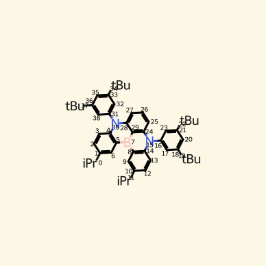 CC(C)c1ccc2c(c1)B1c3cc(C(C)C)ccc3N(c3cc(C(C)(C)C)cc(C(C)(C)C)c3)c3cccc(c31)N2c1cc(C(C)(C)C)cc(C(C)(C)C)c1